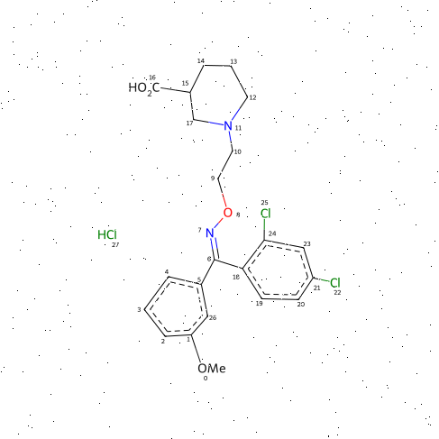 COc1cccc(C(=NOCCN2CCCC(C(=O)O)C2)c2ccc(Cl)cc2Cl)c1.Cl